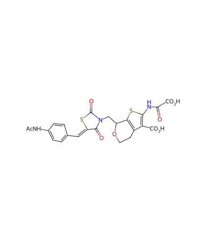 CC(=O)Nc1ccc(C=C2SC(=O)N(CC3OCCc4c3sc(NC(=O)C(=O)O)c4C(=O)O)C2=O)cc1